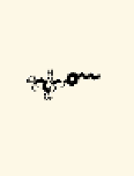 CCCCCc1ccc(OCCNC(CC(=O)OC)CC(=O)OC)cc1